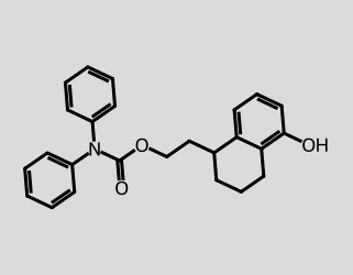 O=C(OCCC1CCCc2c(O)cccc21)N(c1ccccc1)c1ccccc1